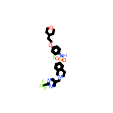 O=S(=O)(Nc1ccc(OCCC2CCOCC2)cc1F)c1ccc2c(c1)CCN(Cc1cnc(C(F)(F)F)nc1)C2